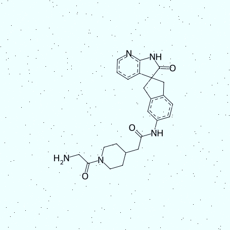 NCC(=O)N1CCC(CC(=O)Nc2ccc3c(c2)CC2(C3)C(=O)Nc3ncccc32)CC1